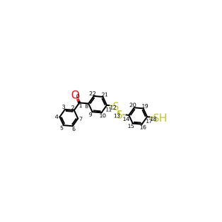 O=C(c1ccccc1)c1ccc(SSc2ccc(S)cc2)cc1